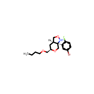 CCCCOC[C@H]1C[C@H]2CON[C@@]2(c2cc(Br)ccc2F)CO1